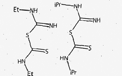 CC(C)NC(=N)SC(=S)NC(C)C.CCNC(=N)SC(=S)NCC